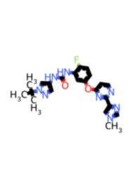 Cn1cnc(-c2nccc(Oc3ccc(F)c(NC(=O)Nc4cnn(C(C)(C)C)c4)c3)n2)c1